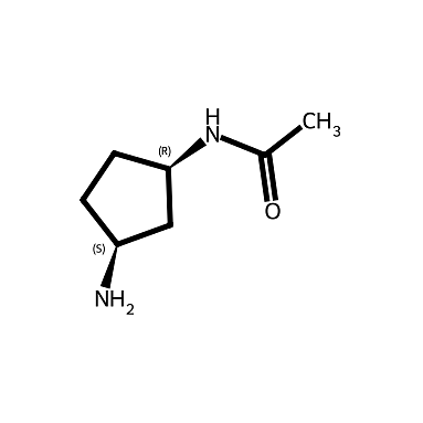 CC(=O)N[C@@H]1CC[C@H](N)C1